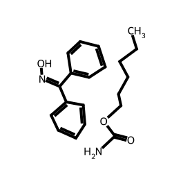 CCCCCCOC(N)=O.ON=C(c1ccccc1)c1ccccc1